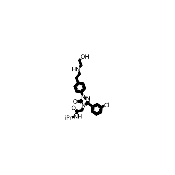 CC(C)NC(=O)Cn1c(-c2cccc(Cl)c2)nn(-c2ccc(CCNCCO)cc2)c1=O